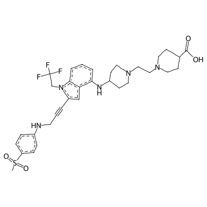 CS(=O)(=O)c1ccc(NCC#Cc2cc3c(NC4CCN(CCN5CCC(C(=O)O)CC5)CC4)cccc3n2CC(F)(F)F)cc1